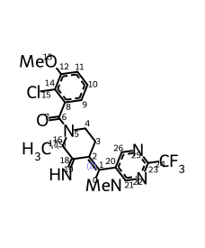 CN/C(=C1/CCN(C(=O)c2cccc(OC)c2Cl)[C@@H](C)C1=N)c1cnc(C(F)(F)F)nc1